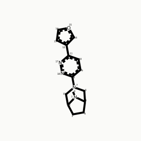 CN1C2CCC1CN(c1ccc(-c3ccoc3)nn1)C2